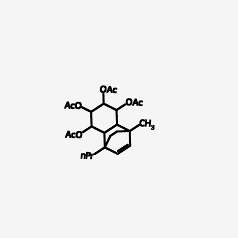 CCCC12C=CC(C)(CC1)C1C(OC(C)=O)C(OC(C)=O)C(OC(C)=O)C(OC(C)=O)C12